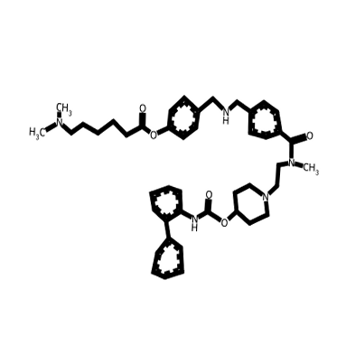 CN(C)CCCCCC(=O)Oc1ccc(CNCc2ccc(C(=O)N(C)CCN3CCC(OC(=O)Nc4ccccc4-c4ccccc4)CC3)cc2)cc1